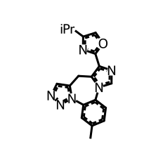 Cc1ccc2c(c1)-n1nncc1Cc1c(-c3nc(C(C)C)co3)ncn1-2